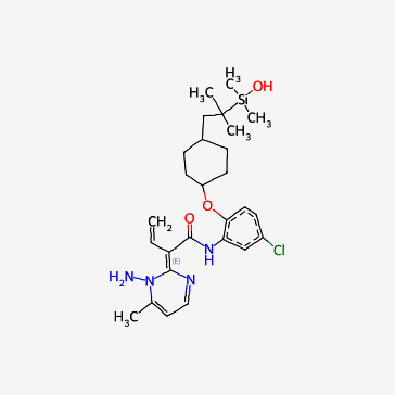 C=C/C(C(=O)Nc1cc(Cl)ccc1OC1CCC(CC(C)(C)[Si](C)(C)O)CC1)=C1/N=CC=C(C)N1N